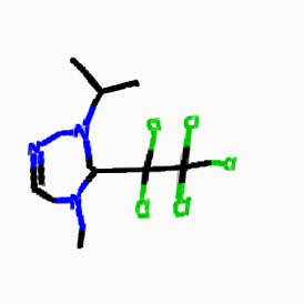 CC(C)N1N=CN(C)C1C(Cl)(Cl)C(Cl)(Cl)Cl